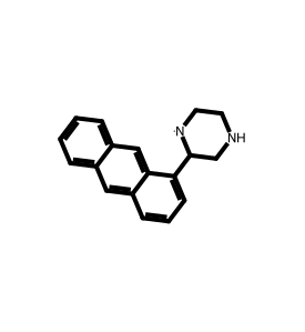 c1ccc2cc3c(C4CNCC[N]4)cccc3cc2c1